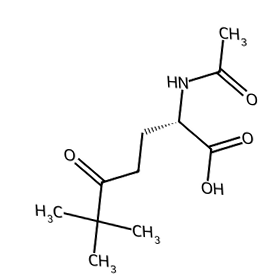 CC(=O)N[C@@H](CCC(=O)C(C)(C)C)C(=O)O